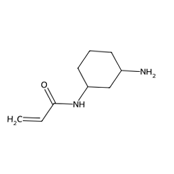 C=CC(=O)NC1CCCC(N)C1